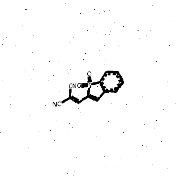 N#CC(C#N)=CC1=Cc2ccccc2S1(=O)=O